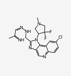 CC(=N)/C=N\NCc1nc2cnc3ccc(Cl)cc3c2n1C1CN(C)CC1(F)F